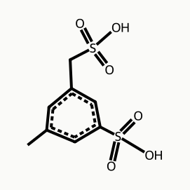 Cc1cc(CS(=O)(=O)O)cc(S(=O)(=O)O)c1